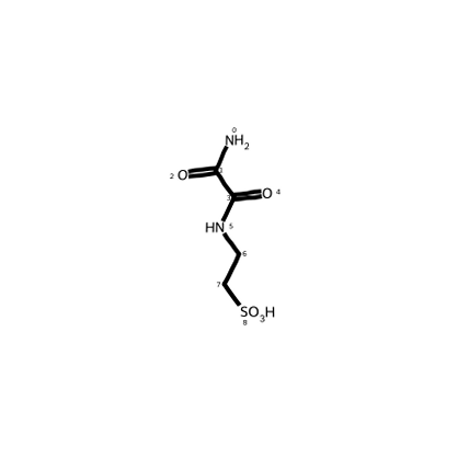 NC(=O)C(=O)NCCS(=O)(=O)O